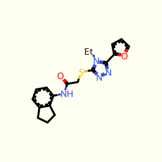 CCn1c(SCC(=O)Nc2cccc3c2CCC3)nnc1-c1ccco1